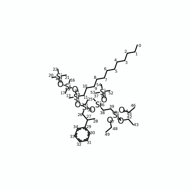 CCCCCCCCCCCC[Si](C)(O[Si](C)(C)O[Si](C)(C)C)O[Si](C)(CC(C)c1ccccc1)O[Si](C)(CC[Si](OCC)(OCC)OCC)O[Si](C)(C)C